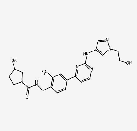 CC(C)(C)C1CCN(C(=O)NCc2ccc(-c3ccnc(Nc4cnn(CCO)c4)n3)cc2C(F)(F)F)C1